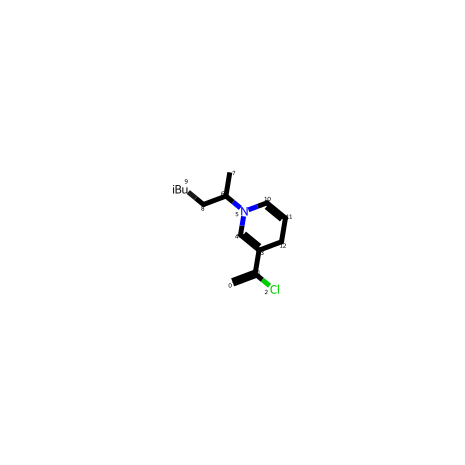 C=C(Cl)C1=CN(C(C)CC(C)CC)C=CC1